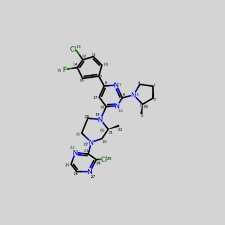 C[C@@H]1CCCN1c1nc(-c2ccc(Cl)c(F)c2)cc(N2CCN(c3nccnc3Cl)C[C@@H]2C)n1